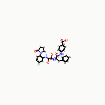 O=C(Nc1cc(Cl)ccc1N1CCCC1=O)C(=O)NC(Cc1ccccc1)C(=O)Nc1ccc(C(=O)O)cc1